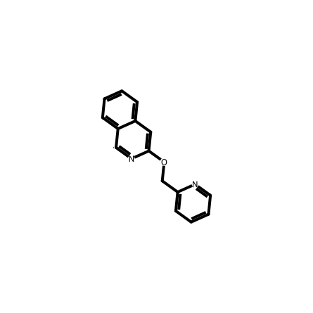 [c]1nc(OCc2ccccn2)cc2ccccc12